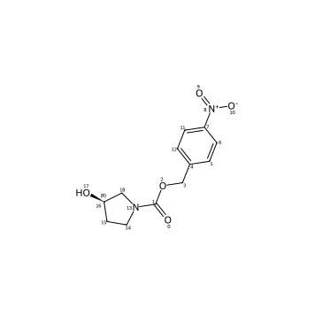 O=C(OCc1ccc([N+](=O)[O-])cc1)N1CC[C@@H](O)C1